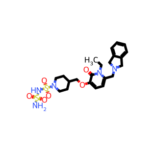 CCn1c(CN2Cc3ccccc3C2)ccc(OCC2CCN(S(=O)(=O)NS(N)(=O)=O)CC2)c1=O